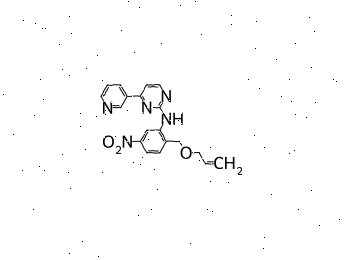 C=CCOCc1ccc([N+](=O)[O-])cc1Nc1nccc(-c2cccnc2)n1